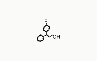 OCC=C(c1ccccc1)c1ccc(F)cc1